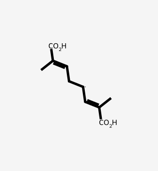 CC(=C[CH]CC=C(C)C(=O)O)C(=O)O